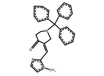 Cn1ccnc1C=C1CN(C(c2ccccc2)(c2ccccc2)c2ccccc2)CCC1=O